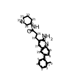 Cc1ccccc1-c1ccc2nc(N)c(CCC(=O)NC3CCCN(C)C3)cc2c1